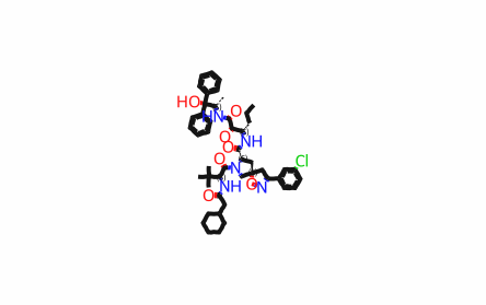 CCC[C@H](NC(=O)[C@@H]1C[C@]2(CC(c3cccc(Cl)c3)=NO2)CN1C(=O)[C@@H](NC(=O)CC1CCCCC1)C(C)(C)C)C(=O)C(=O)N[C@@H](C)C(O)(c1ccccc1)c1ccccc1